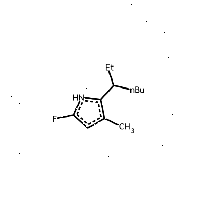 CCCCC(CC)c1[nH]c(F)cc1C